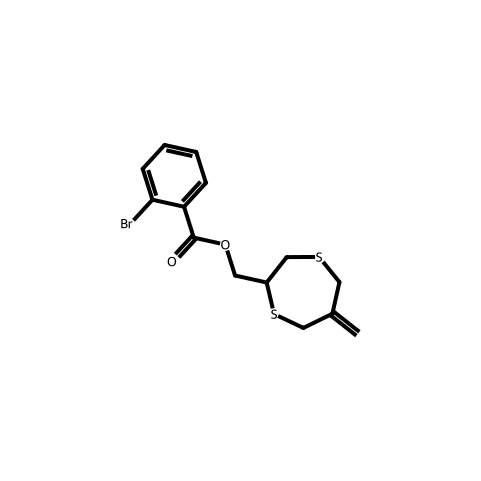 C=C1CSCC(COC(=O)c2ccccc2Br)SC1